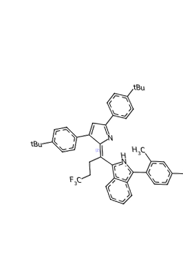 Cc1cc(F)ccc1-c1[nH]c(/C(CCC(F)(F)F)=C2\N=C(c3ccc(C(C)(C)C)cc3)C=C2c2ccc(C(C)(C)C)cc2)c2ccccc12